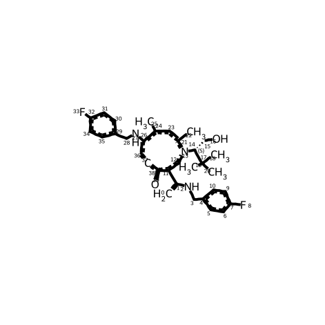 C=C(NCc1ccc(F)cc1)c1cn([C@H](CO)C(C)(C)C)c(C)cc(C)c(NCc2ccc(F)cc2)ccc1=O